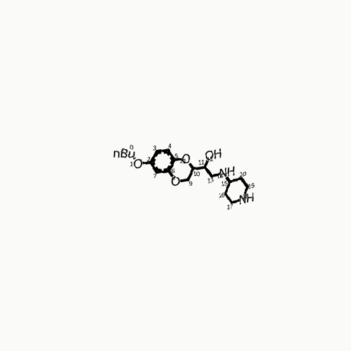 CCCCOc1ccc2c(c1)OCC(C(O)CNC1CCNCC1)O2